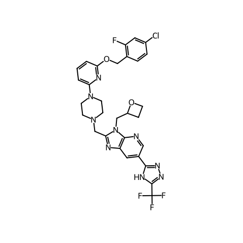 Fc1cc(Cl)ccc1COc1cccc(N2CCN(Cc3nc4cc(-c5nnc(C(F)(F)F)[nH]5)cnc4n3CC3CCO3)CC2)n1